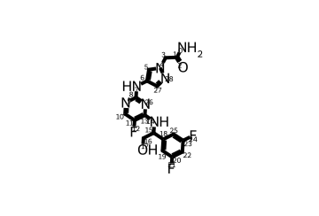 NC(=O)Cn1cc(Nc2ncc(F)c(NC(CO)c3cc(F)cc(F)c3)n2)cn1